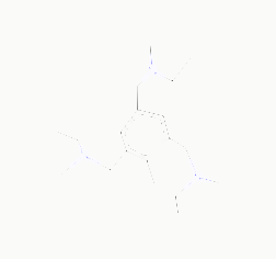 CCN(C)Cc1cc(CN(C)CC)c(C)c(CN(C)CC)c1